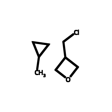 CC1CC1.ClCC1COC1